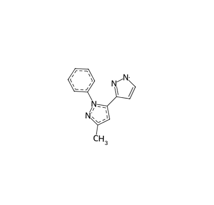 Cc1cc(C2=N[N]C=C2)n(-c2ccccc2)n1